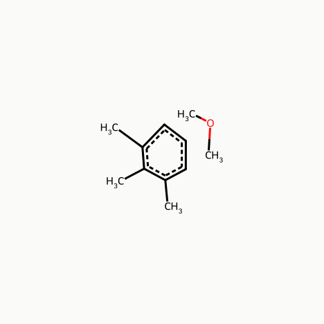 COC.Cc1cccc(C)c1C